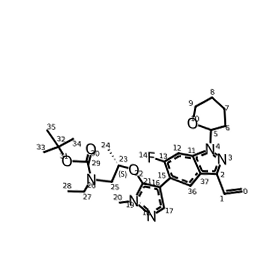 C=Cc1nn(C2CCCCO2)c2cc(F)c(-c3cnn(C)c3O[C@@H](C)CN(CC)C(=O)OC(C)(C)C)cc12